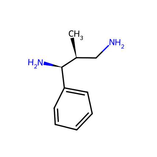 C[C@@H](CN)[C@H](N)c1ccccc1